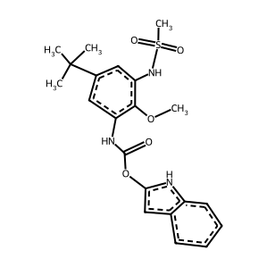 COc1c(NC(=O)Oc2cc3ccccc3[nH]2)cc(C(C)(C)C)cc1NS(C)(=O)=O